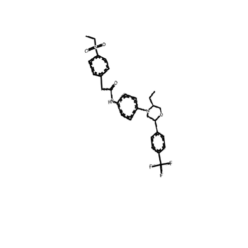 CCC1COC(c2ccc(C(F)(F)F)cc2)CN1c1ccc(NC(=O)Cc2ccc(S(=O)(=O)CC)cc2)cc1